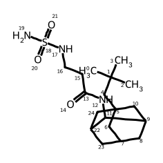 CC(C)(C)CC12CC3CC(C1)C(NC(=O)CCNS(N)(=O)=O)C(C3)C2